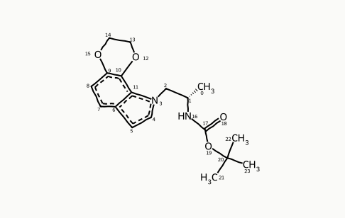 C[C@@H](Cn1ccc2ccc3c(c21)OCCO3)NC(=O)OC(C)(C)C